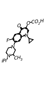 CC(C)N1CCN(c2cc3c(cc2F)c(=O)c(OC(=O)O)cn3C2CC2)CC1C